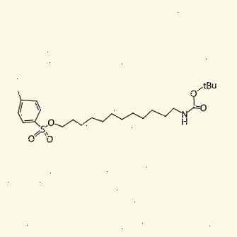 Cc1ccc(S(=O)(=O)OCCCCCCCCCCCCNC(=O)OC(C)(C)C)cc1